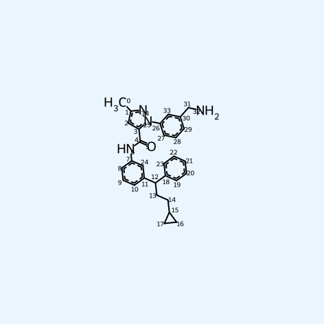 Cc1cc(C(=O)Nc2cccc(C(CCC3CC3)c3ccccc3)c2)n(-c2cccc(CN)c2)n1